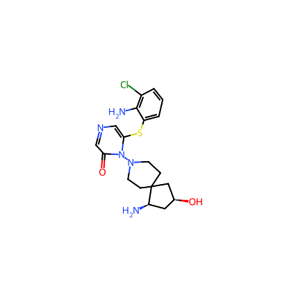 Nc1c(Cl)cccc1Sc1cncc(=O)n1N1CCC2(CC1)C[C@@H](O)C[C@H]2N